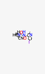 Cc1cc(C(=O)NCC(=O)N2[C@H](C#N)C[C@@H]3C[C@@H]32)c2cc(I)ccc2n1